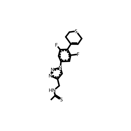 CC(=S)NCc1cn(-c2cc(F)c(C3=CCSCC3)c(F)c2)nn1